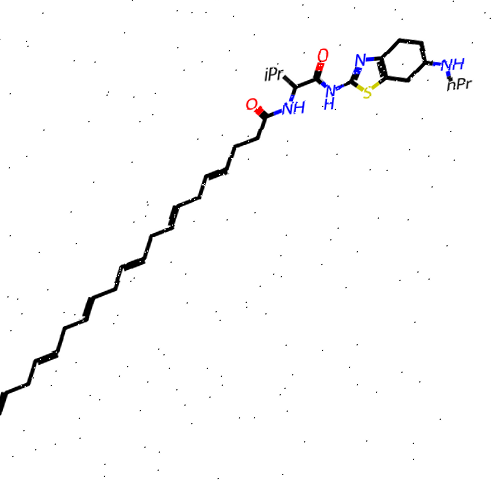 CCC=CCC=CCC=CCC=CCC=CCC=CCCC(=O)NC(C(=O)Nc1nc2c(s1)CC(NCCC)CC2)C(C)C